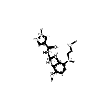 COCCN(C)c1ccc(OC)c2[nH]c(NC(=O)c3cnn(C)c3)nc12